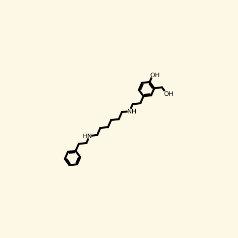 OCc1cc(CCNCCCCCCNCCc2ccccc2)ccc1O